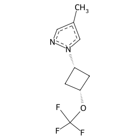 Cc1cnn([C@H]2C[C@@H](OC(F)(F)F)C2)c1